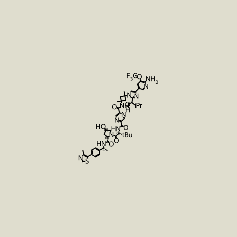 Cc1ncsc1-c1ccc([C@H](C)NC(=O)[C@@H]2C[C@@H](O)CN2C(=O)[C@@H](NC(=O)c2cnc(C(=O)NC3(C)CC(C)(n4cc(-c5cnc(N)c(OC(F)(F)F)c5)nc4C(O)C(C)C)C3)cn2)C(C)(C)C)cc1